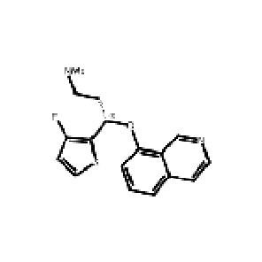 CNCC[C@H](Oc1cccc2ccncc12)c1sccc1F